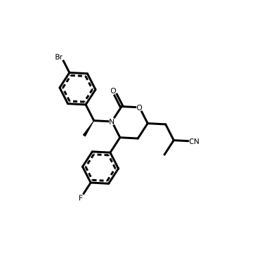 CC(C#N)CC1CC(c2ccc(F)cc2)N([C@@H](C)c2ccc(Br)cc2)C(=O)O1